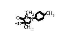 Cc1ccc(N2CC(C)(O)C(=O)N2C)cc1